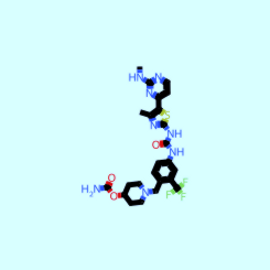 CNc1nccc(-c2sc(NC(=O)Nc3ccc(CN4CCC(OC(N)=O)CC4)c(C(F)(F)F)c3)nc2C)n1